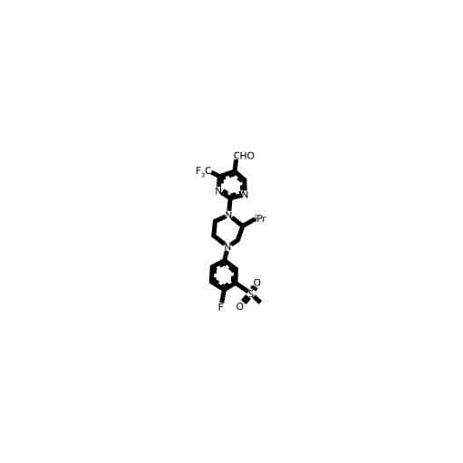 CC(C)C1CN(c2ccc(F)c(S(C)(=O)=O)c2)CCN1c1ncc(C=O)c(C(F)(F)F)n1